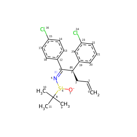 C=CC[C@@H](/C(=N\[S+]([O-])C(C)(C)C)c1ccc(Cl)cc1)c1cccc(Cl)c1